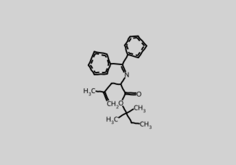 C=C(C)CC(N=C(c1ccccc1)c1ccccc1)C(=O)OC(C)(C)CC